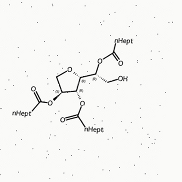 CCCCCCCC(=O)O[C@H]1[C@@H]([C@@H](CO)OC(=O)CCCCCCC)OC[C@@H]1OC(=O)CCCCCCC